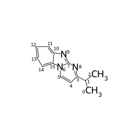 CC(C)c1ccn2c(n1)nc1ccccc12